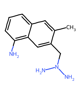 Cc1cc2cccc(N)c2cc1CN(N)N